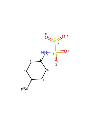 CCCCC1CCC(NS(=O)(=O)[SH](=O)=O)CC1